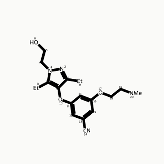 CCc1nn(CCO)c(CC)c1Oc1cc(C#N)cc(OCCNC)c1